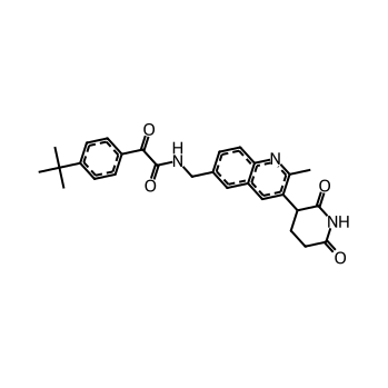 Cc1nc2ccc(CNC(=O)C(=O)c3ccc(C(C)(C)C)cc3)cc2cc1C1CCC(=O)NC1=O